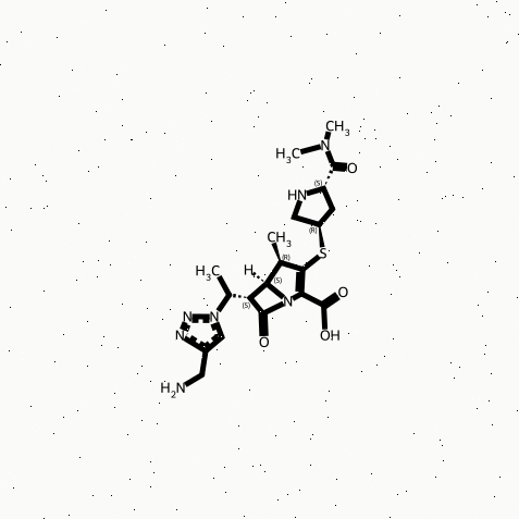 CC([C@H]1C(=O)N2C(C(=O)O)=C(S[C@H]3CN[C@H](C(=O)N(C)C)C3)[C@H](C)[C@H]12)n1cc(CN)nn1